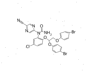 N#Cc1cnc(N(C(N)=O)c2cc(Cl)ccc2OC(COc2ccc(Br)cc2)Oc2ccc(Br)cc2)cn1